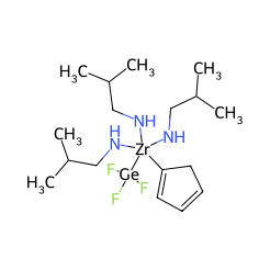 CC(C)C[NH][Zr]([NH]CC(C)C)([NH]CC(C)C)([C]1=CC=CC1)[Ge]([F])([F])[F]